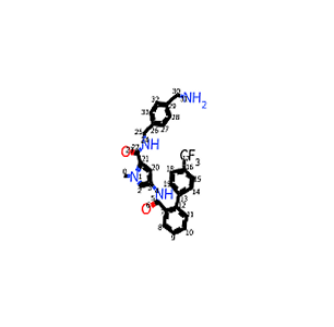 Cn1cc(NC(=O)c2ccccc2-c2ccc(C(F)(F)F)cc2)cc1C(=O)NCc1ccc(CN)cc1